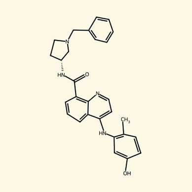 Cc1ccc(O)cc1Nc1ccnc2c(C(=O)N[C@@H]3CCN(Cc4ccccc4)C3)cccc12